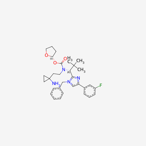 CC(C)(C)[C@H](c1nc(-c2cccc(F)c2)cn1Cc1ccccc1)N(CCC1(N)CC1)C(=O)O[C@H]1CCCO1